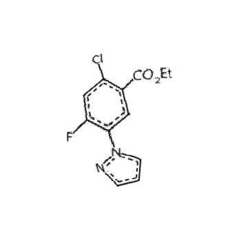 CCOC(=O)c1cc(-n2cccn2)c(F)cc1Cl